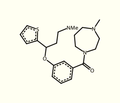 CNCCC(Oc1cccc(C(=O)N2CCCN(C)CC2)c1)c1cccs1